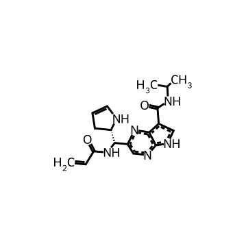 C=CC(=O)NC(c1cnc2[nH]cc(C(=O)NC(C)C)c2n1)[C@@H]1CC=CN1